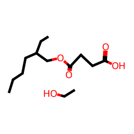 CCCCC(CC)COC(=O)CCC(=O)O.CCO